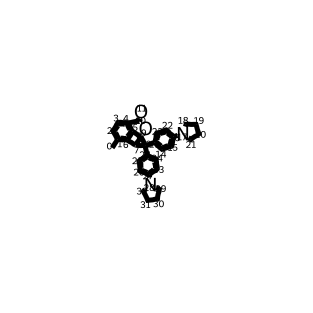 Cc1ccc2c3c1C1C3(OC2=O)C1(c1ccc(N2CCCC2)cc1)c1ccc(N2CCCC2)cc1